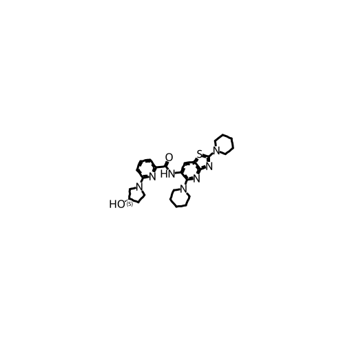 O=C(Nc1cc2sc(N3CCCCC3)nc2nc1N1CCCCC1)c1cccc(N2CC[C@H](O)C2)n1